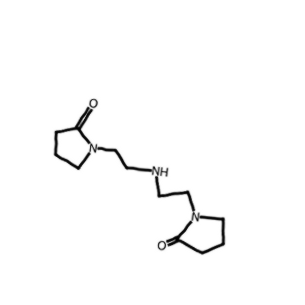 O=C1CCCN1CCNCCN1CCCC1=O